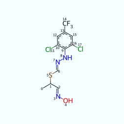 CC(/C=N/O)S/C=N/Nc1c(Cl)cc(C(F)(F)F)cc1Cl